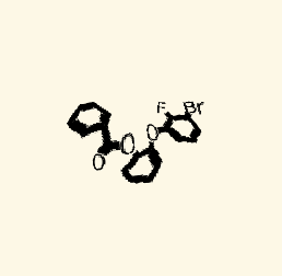 O=C(Oc1ccccc1Oc1cccc(Br)c1F)c1ccccc1